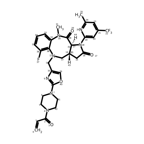 C=CC(=O)N1CCN(c2nc(CN3C[C@H]4CC(=O)N(c5cc(C(F)(F)F)cc(C)n5)[C@@H]4C(=O)N(C)c4cccc(F)c43)co2)CC1